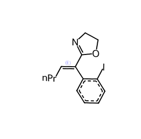 CCC/C=C(/C1=NCCO1)c1ccccc1I